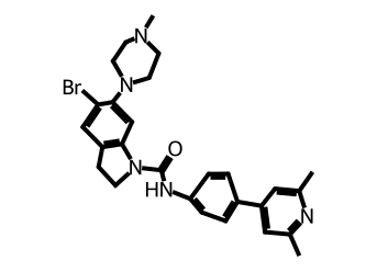 Cc1cc(-c2ccc(NC(=O)N3CCc4cc(Br)c(N5CCN(C)CC5)cc43)cc2)cc(C)n1